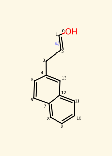 O/C=C/Cc1ccc2ccccc2c1